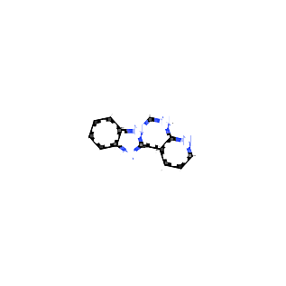 c1ccc2c(c1)nc1c3cccnc3ncn21